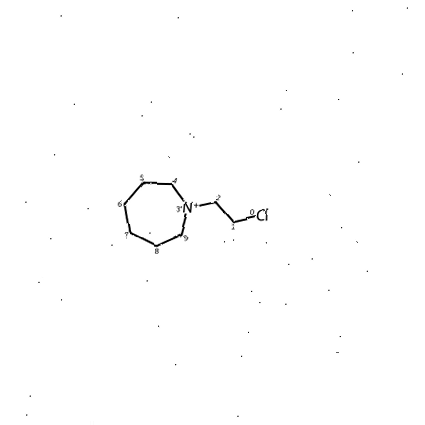 ClCC[N+]1CCCCCC1